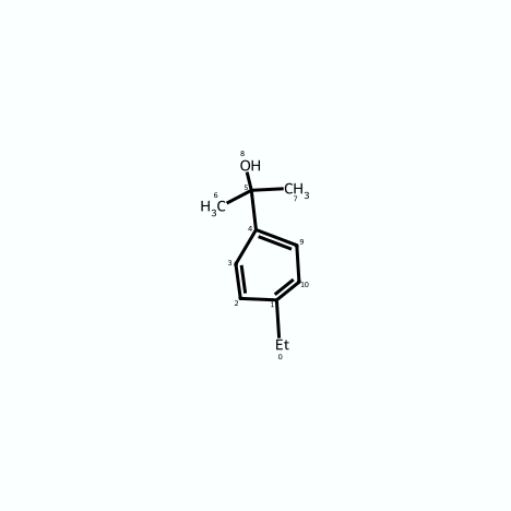 [CH2]Cc1ccc(C(C)(C)O)cc1